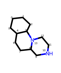 C1CCC2C(C1)CCC1CNCCN12